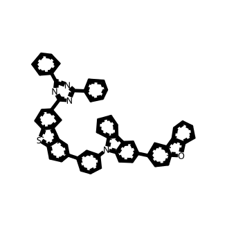 c1ccc(-c2nc(-c3ccccc3)nc(-c3ccc4sc5ccc(-c6cccc(-n7c8ccccc8c8cc(-c9ccc%10oc%11ccccc%11c%10c9)ccc87)c6)cc5c4c3)n2)cc1